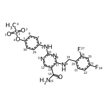 CS(=O)(=O)Oc1ccc(Nc2ncc(C(N)=O)c(NCc3ccc(F)cc3F)n2)cc1